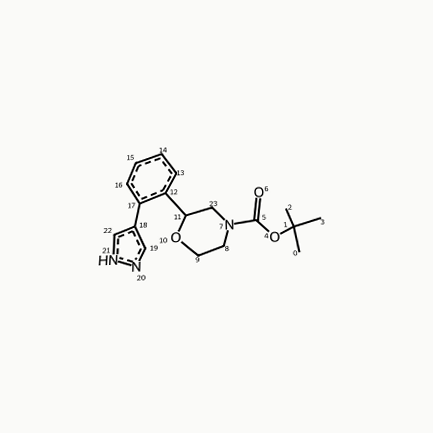 CC(C)(C)OC(=O)N1CCOC(c2ccccc2-c2cn[nH]c2)C1